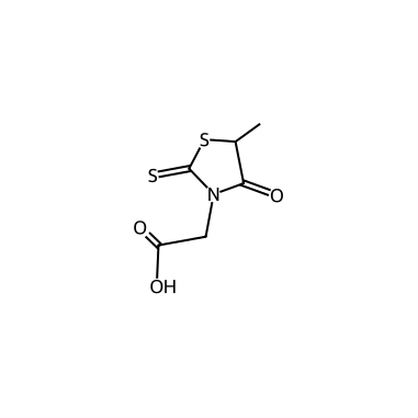 CC1SC(=S)N(CC(=O)O)C1=O